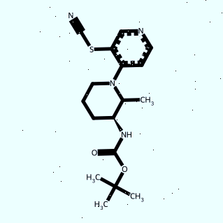 CC1[C@@H](NC(=O)OC(C)(C)C)CCCN1c1ccncc1SC#N